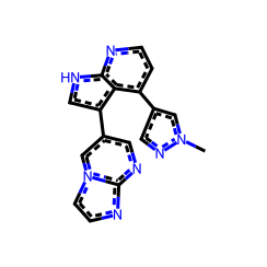 Cn1cc(-c2ccnc3[nH]cc(-c4cnc5nccn5c4)c23)cn1